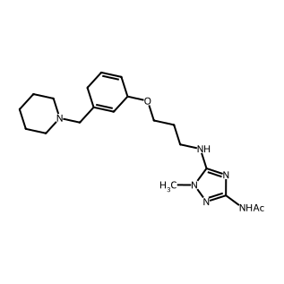 CC(=O)Nc1nc(NCCCOC2C=CCC(CN3CCCCC3)=C2)n(C)n1